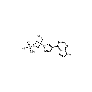 CC(C)[S@@](=N)(=O)N1CC(CC#N)(n2cc(-c3ncnc4[nH]ccc34)cn2)C1